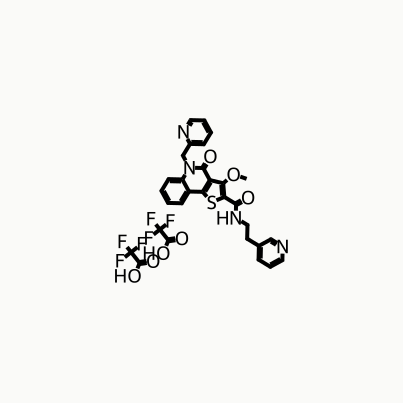 COc1c(C(=O)NCCc2cccnc2)sc2c1c(=O)n(Cc1ccccn1)c1ccccc21.O=C(O)C(F)(F)F.O=C(O)C(F)(F)F